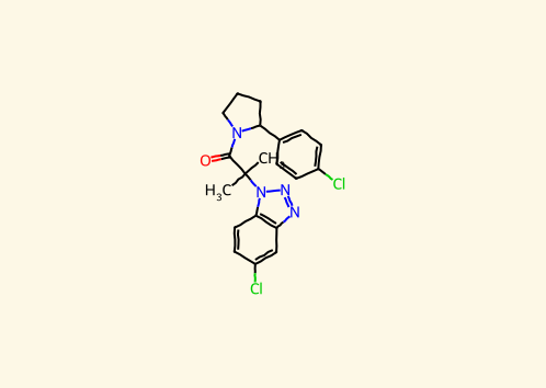 CC(C)(C(=O)N1CCCC1c1ccc(Cl)cc1)n1nnc2cc(Cl)ccc21